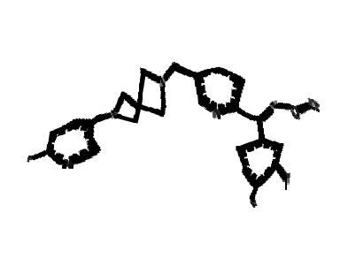 CCON=C(c1ccc(F)c(F)c1)c1ccc(CN2CC3(C2)CN(c2ccc(F)nc2)C3)cn1